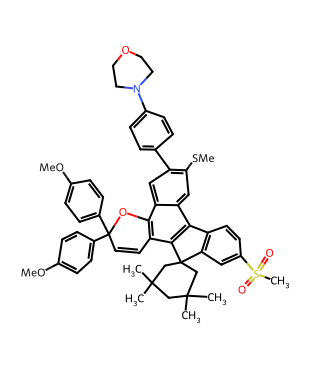 COc1ccc(C2(c3ccc(OC)cc3)C=Cc3c4c(c5cc(SC)c(-c6ccc(N7CCOCC7)cc6)cc5c3O2)-c2ccc(S(C)(=O)=O)cc2C42CC(C)(C)CC(C)(C)C2)cc1